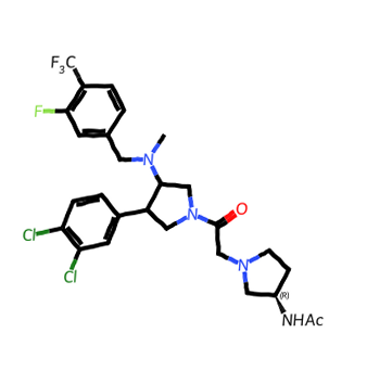 CC(=O)N[C@@H]1CCN(CC(=O)N2CC(c3ccc(Cl)c(Cl)c3)C(N(C)Cc3ccc(C(F)(F)F)c(F)c3)C2)C1